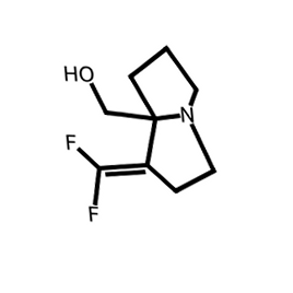 OCC12CCCN1CCC2=C(F)F